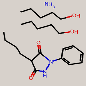 CCCCC1C(=O)NN(c2ccccc2)C1=O.CCCCCO.CCCCCO.N